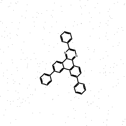 c1ccc(-c2ccc3c(c2)c2cc(-c4ccccc4)ccc2c2nc(-c4ccccc4)cnc32)cc1